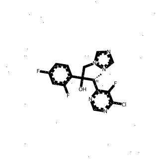 C[C@H](c1ncnc(Cl)c1F)C(O)(Cn1cncn1)c1ccc(F)cc1F